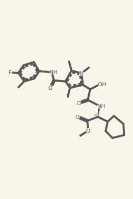 COC(=O)[C@@H](NC(=O)C(O)c1c(C)c(C(=O)Nc2ccc(F)c(C)c2)c(C)n1C)C1CCCCC1